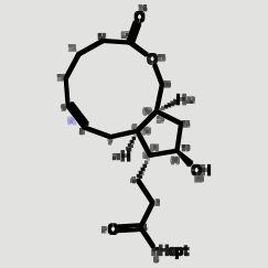 CCCCCCCC(=O)CC[C@@H]1[C@H]2C/C=C\CCCC(=O)OC[C@H]2C[C@H]1O